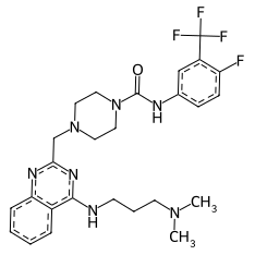 CN(C)CCCNc1nc(CN2CCN(C(=O)Nc3ccc(F)c(C(F)(F)F)c3)CC2)nc2ccccc12